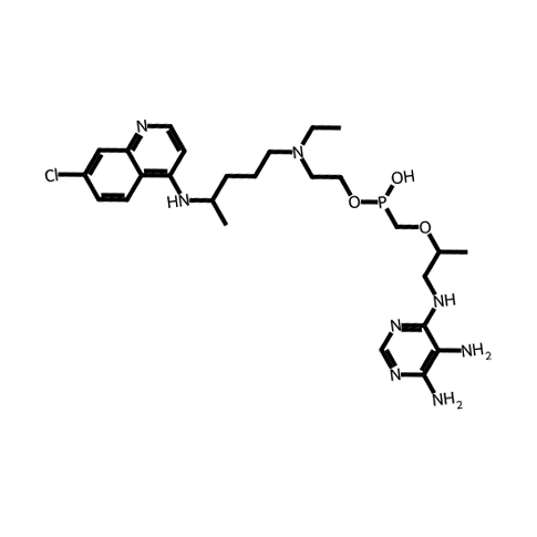 CCN(CCCC(C)Nc1ccnc2cc(Cl)ccc12)CCOP(O)COC(C)CNc1ncnc(N)c1N